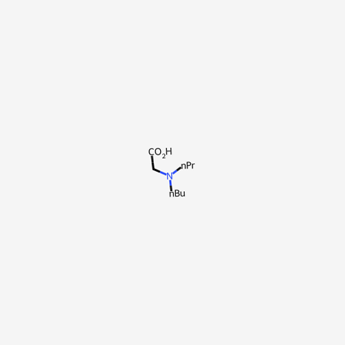 CCCCN(CCC)CC(=O)O